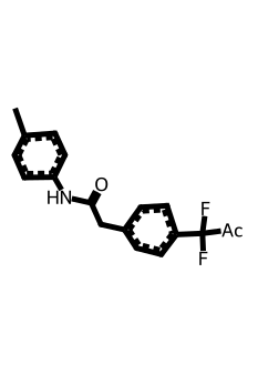 CC(=O)C(F)(F)c1ccc(CC(=O)Nc2ccc(C)cc2)cc1